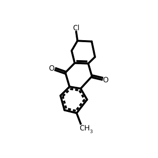 Cc1ccc2c(c1)C(=O)C1=C(CC(Cl)CC1)C2=O